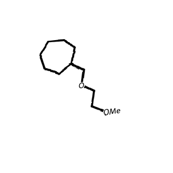 COCCOC[C]1CCCCCC1